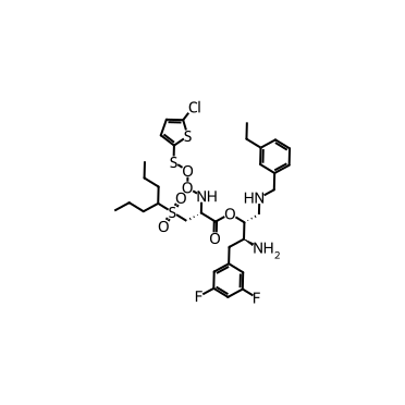 CCCC(CCC)S(=O)(=O)C[C@H](NOOSc1ccc(Cl)s1)C(=O)O[C@H](CNCc1cccc(CC)c1)[C@@H](N)Cc1cc(F)cc(F)c1